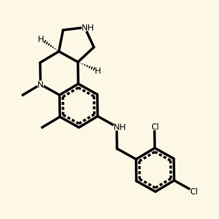 Cc1cc(NCc2ccc(Cl)cc2Cl)cc2c1N(C)C[C@H]1CNC[C@@H]21